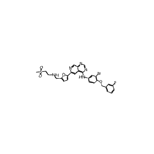 CS(=O)(=O)CCNCc1ccc(-c2cc3c(Nc4ccc(OCc5cccc(F)c5)c(Br)c4)ncnc3cn2)o1